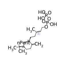 C=C1CC[C@@H](C(C)(C)CCCCC)C[C@H]1CC/C(C)=C/COP(=O)(O)OP(=O)(O)O